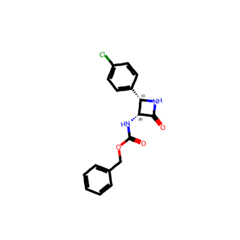 O=C(N[C@H]1C(=O)N[C@H]1c1ccc(Cl)cc1)OCc1ccccc1